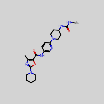 CCCCNC(=O)NC1CCN(c2ccc(NC(=O)c3oc(N4CCCCC4)nc3C)cn2)CC1